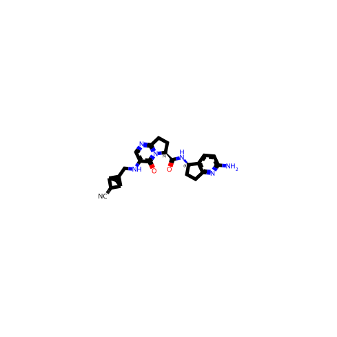 N#CC1C2CC1C2CNc1cnc2n(c1=O)[C@H](C(=O)N[C@@H]1CCc3nc(N)ccc31)CC2